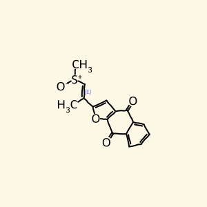 C/C(=C\[S+](C)[O-])c1cc2c(o1)C(=O)c1ccccc1C2=O